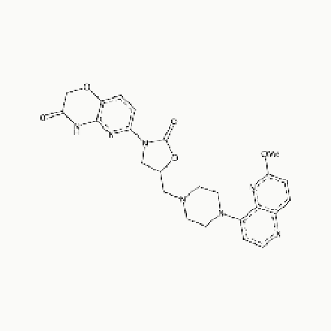 COc1ccc2nccc(N3CCN(CC4CN(c5ccc6c(n5)NC(=O)CO6)C(=O)O4)CC3)c2n1